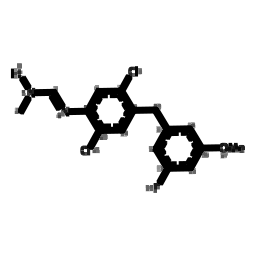 CCN(C)C=Nc1cc(Cl)c(Cc2cc(F)cc(OC)c2)cc1Cl